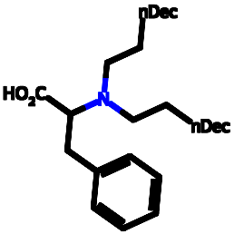 CCCCCCCCCCCCN(CCCCCCCCCCCC)C(Cc1ccccc1)C(=O)O